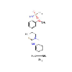 COc1cc(C(C)CN(Cc2ccc(C(C)(C)C)cc2)C(N)=S)ccc1NS(C)(=O)=O